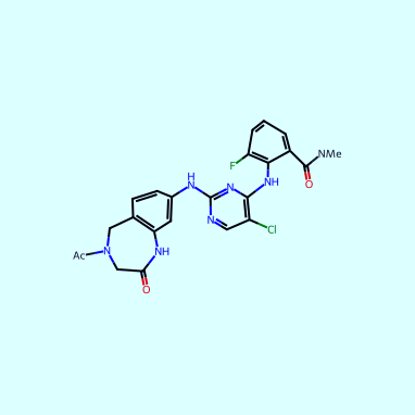 CNC(=O)c1cccc(F)c1Nc1nc(Nc2ccc3c(c2)NC(=O)CN(C(C)=O)C3)ncc1Cl